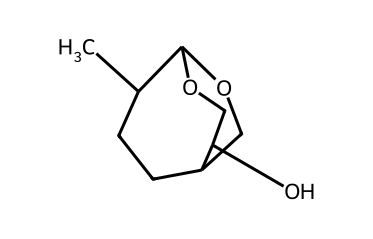 CC1CCC2COC1OCC2O